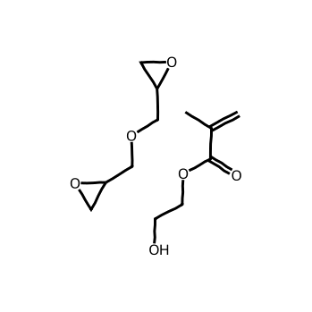 C(OCC1CO1)C1CO1.C=C(C)C(=O)OCCO